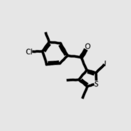 Cc1cc(C(=O)c2c(I)sc(C)c2C)ccc1Cl